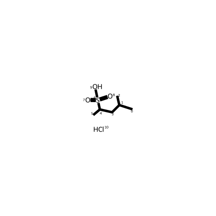 CC(C)CC(C)S(=O)(=O)O.Cl